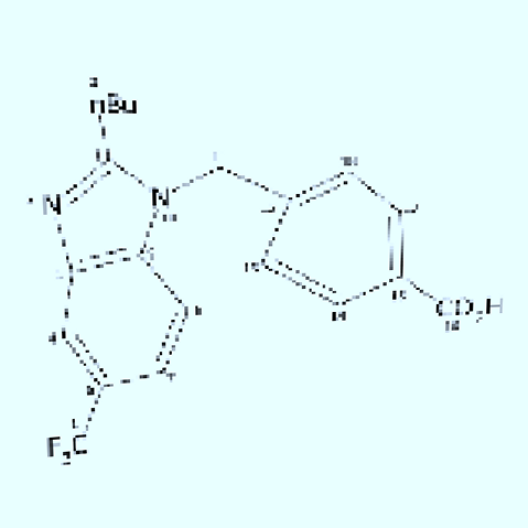 CCCCc1nc2cc(C(F)(F)F)ccc2n1Cc1ccc(C(=O)O)cc1